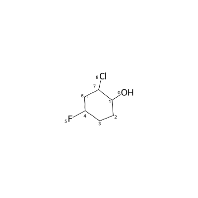 OC1CCC(F)[CH]C1Cl